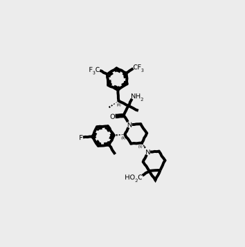 Cc1cc(F)ccc1[C@H]1C[C@@H](N2CCC3CC3(C(=O)O)C2)CCN1C(=O)C(C)(N)[C@H](C)c1cc(C(F)(F)F)cc(C(F)(F)F)c1